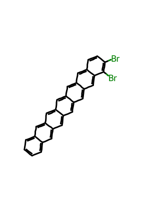 Brc1ccc2cc3cc4cc5cc6cc7ccccc7cc6cc5cc4cc3cc2c1Br